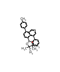 Cc1ccc(-c2ccc(B3OC(C)(C)C(C)(C)O3)c3c(-c4ccccc4)cncc23)cc1